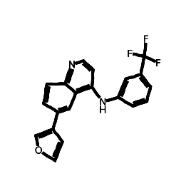 FC(F)(F)c1cccc(Nc2ccnc3ccc(-c4ccoc4)cc23)c1